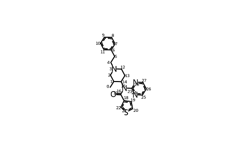 CC1CN(CCc2ccccc2)CCC1N(C(=O)c1ccsc1)c1ncccn1